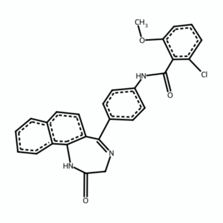 COc1cccc(Cl)c1C(=O)Nc1ccc(C2=NCC(=O)Nc3c2ccc2ccccc32)cc1